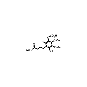 COC(=O)CCCc1c(C)c(OS(=O)(=O)O)c(OC)c(OC)c1O